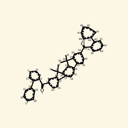 CC1(C)c2cc(C(=O)c3ccccc3-c3ccccc3)ccc2-c2ccc3c(c21)C(C)(C)c1cc(C(=O)c2ccccc2-c2ccccc2)ccc1-3